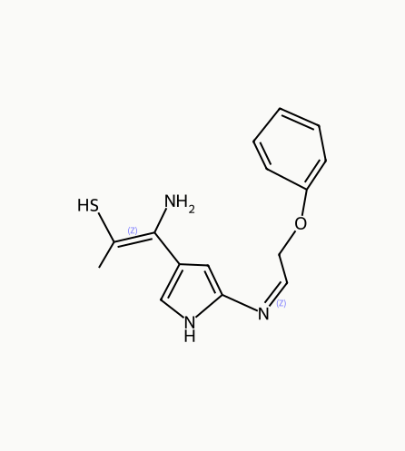 C/C(S)=C(/N)c1c[nH]c(/N=C\COc2ccccc2)c1